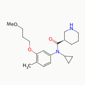 COCCCOc1cc(N(C(=O)[C@@H]2CCCNC2)C2CC2)ccc1C